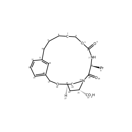 CC(C)[C@@H]1NC(=O)OCCCCCc2cccc(c2)CO[C@@H]2C[C@@H](C(=O)O)N(C2)C1=O